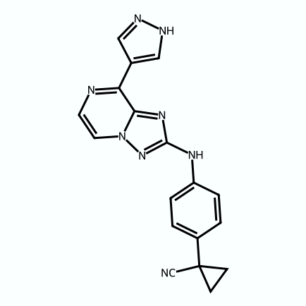 N#CC1(c2ccc(Nc3nc4c(-c5cn[nH]c5)nccn4n3)cc2)CC1